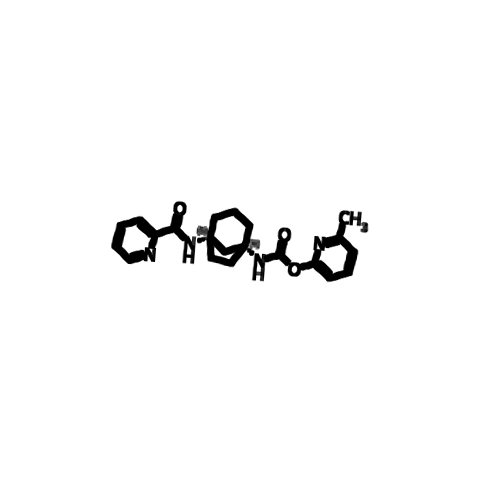 Cc1cccc(OC(=O)N[C@]23CCC[C@](NC(=O)c4ccccn4)(CC2)C3)n1